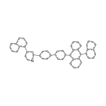 c1ccc2c(-c3ccnc(-c4ccc(-c5ccc(-c6c7ccccc7c(-c7cccc8ccccc78)c7ccccc67)cc5)cc4)c3)cccc2c1